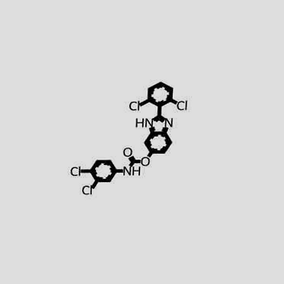 O=C(Nc1ccc(Cl)c(Cl)c1)Oc1ccc2nc(-c3c(Cl)cccc3Cl)[nH]c2c1